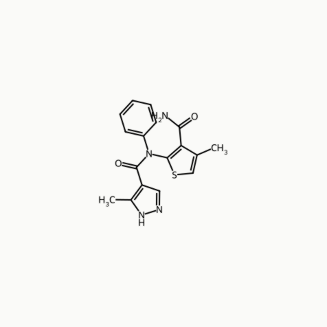 Cc1csc(N(C(=O)c2cn[nH]c2C)c2ccccc2)c1C(N)=O